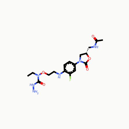 CCN(OCCNc1ccc(N2C[C@H](CNC(C)=O)OC2=O)cc1F)C(=O)NN